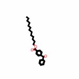 CCCCCCCCCCCCCOC(=O)c1ccc(C(=O)c2ccccc2)cc1